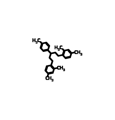 Cc1ccc(C(CCc2ccc(C)cc2C)CCc2ccc(C)cc2C)cc1